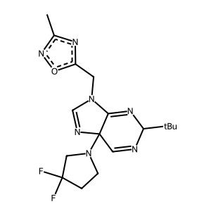 Cc1noc(CN2C=NC3(N4CCC(F)(F)C4)C=NC(C(C)(C)C)N=C23)n1